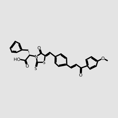 COc1ccc(C(=O)/C=C/c2ccc(/C=C3\SC(=S)N([C@@H](Cc4ccccc4)C(=O)O)C3=O)cc2)cc1